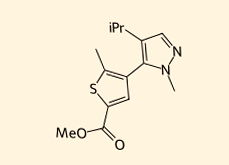 COC(=O)c1cc(-c2c(C(C)C)cnn2C)c(C)s1